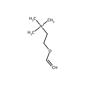 [CH]=COCC[N+](C)(C)C